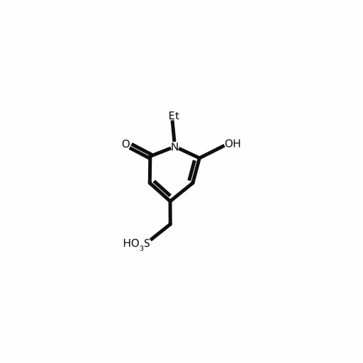 CCn1c(O)cc(CS(=O)(=O)O)cc1=O